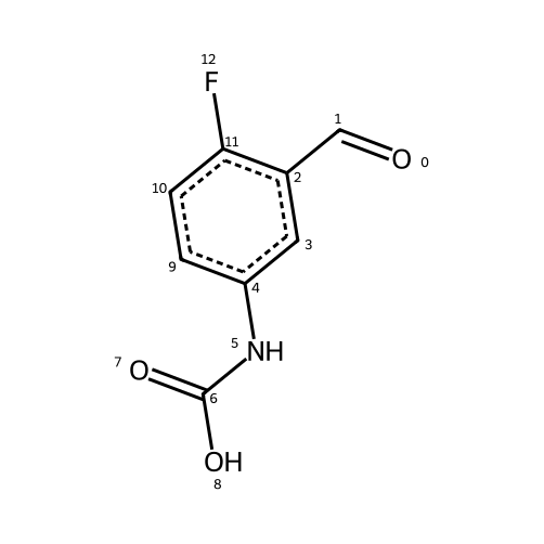 O=Cc1cc(NC(=O)O)ccc1F